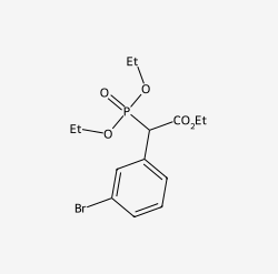 CCOC(=O)C(c1cccc(Br)c1)P(=O)(OCC)OCC